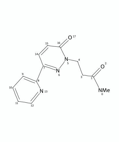 CNC(=O)CCn1nc(-c2ccccn2)ccc1=O